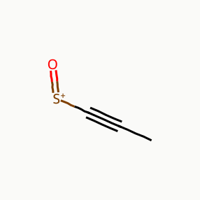 CC#C[S+]=O